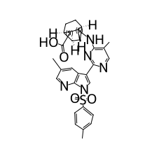 Cc1ccc(S(=O)(=O)n2cc(-c3ncc(C)c(N[C@H]4[C@H]5CC[C@H](CC5)[C@@H]4C(=O)O)n3)c3cc(C)cnc32)cc1